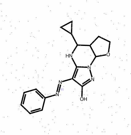 Oc1nn2c(c1/N=N/c1ccccc1)NC(C1CC1)C1CCOC12